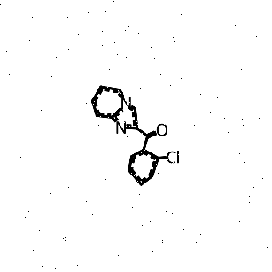 O=C(c1cn2ccccc2n1)c1ccccc1Cl